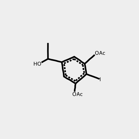 CC(=O)Oc1cc(C(C)O)cc(OC(C)=O)c1I